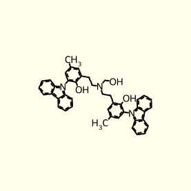 Cc1cc(CCN(CO)CCc2cc(C)cc(-n3c4ccccc4c4ccccc43)c2O)c(O)c(-n2c3ccccc3c3ccccc32)c1